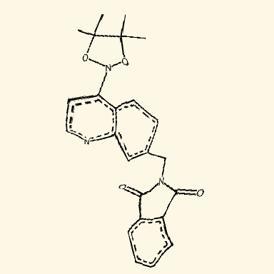 CC1(C)ON(c2ccnc3cc(CN4C(=O)c5ccccc5C4=O)ccc23)OC1(C)C